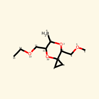 BC1OC(COC)C2(CC2)OC1COCC